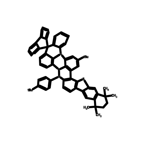 CC(C)(C)c1ccc(N2B3c4cccc5c4N(c4ccccc4C54c5ccccc5-c5ccccc54)c4cc(C(C)(C)C)cc(c43)-c3c2ccc2c3sc3cc4c(cc32)C(C)(C)CCC4(C)C)cc1